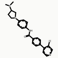 CN(C)C1CCN(c2ccc(NC(=O)c3ccc(-c4ccncc4Cl)cc3)cc2)C1